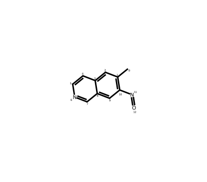 Cc1cc2ccncc2cc1N=O